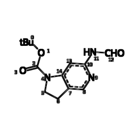 CC(C)(C)OC(=O)N1CCc2cnc(NC=O)cc21